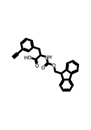 C#Cc1cccc(CC(NC(=O)OCC2c3ccccc3-c3ccccc32)C(=O)O)c1